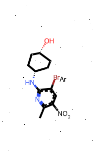 Cc1nc(N[C@H]2CC[C@@H](O)CC2)c(Br)cc1[N+](=O)[O-].[Ar]